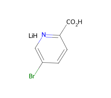 O=C(O)c1ccc(Br)cn1.[LiH]